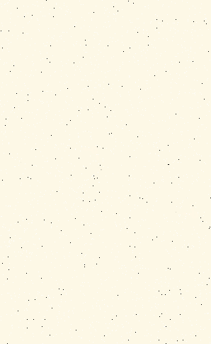 CCCC(C)(C)O[SiH2]CCC1CCC2OC2C1